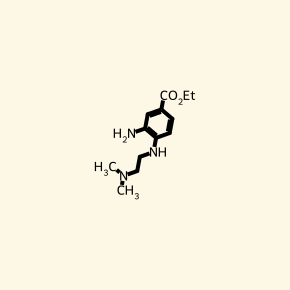 CCOC(=O)c1ccc(NCCN(C)C)c(N)c1